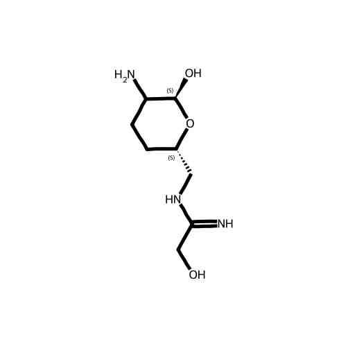 N=C(CO)NC[C@@H]1CCC(N)[C@@H](O)O1